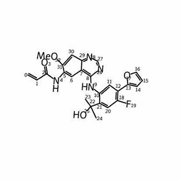 C=CC(=O)Nc1cc2c(Nc3cc(-c4ccco4)c(F)cc3C(C)(C)O)ncnc2cc1OC